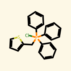 ClP(Cc1cccs1)(c1ccccc1)(c1ccccc1)c1ccccc1